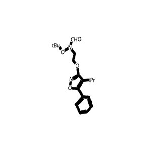 CC(C)c1c(OCCN(C=O)OC(C)(C)C)noc1-c1ccccc1